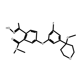 COC1(c2cc(F)cc(Sc3ccc(/C(C)=N/O)c(C(=O)N(C)C)c3)c2)CCOCC1